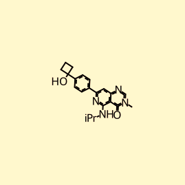 CC(C)Nc1nc(-c2ccc(C3(O)CCC3)cc2)cc2ncn(C)c(=O)c12